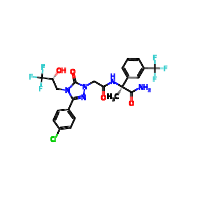 C[C@@](NC(=O)Cn1nc(-c2ccc(Cl)cc2)n(C[C@@H](O)C(F)(F)F)c1=O)(C(N)=O)c1cccc(C(F)(F)F)c1